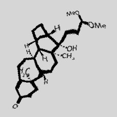 COC(CC[C@]1(O)[C@H]2CC[C@H]2[C@H]2[C@@H]3CCC4=CC(=O)CC[C@]4(C)[C@H]3CC[C@@]21C)OC